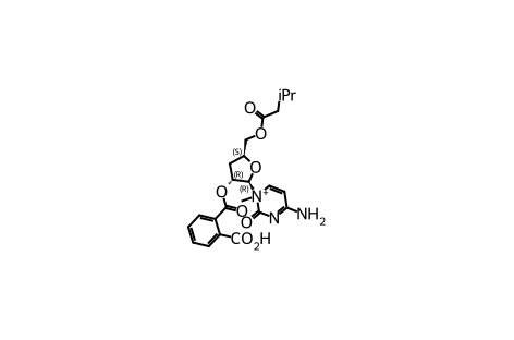 CC(C)CC(=O)OC[C@@H]1C[C@@H](OC(=O)c2ccccc2C(=O)O)[C@H]([N+]2(C)C=CC(N)=NC2=O)O1